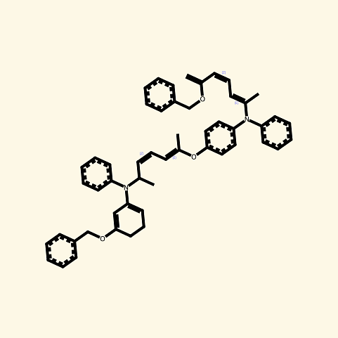 C=C(/C=C\C=C(/C)N(c1ccccc1)c1ccc(O/C(C)=C/C=C\C(C)N(C2=CCCC(OCc3ccccc3)=C2)c2ccccc2)cc1)OCc1ccccc1